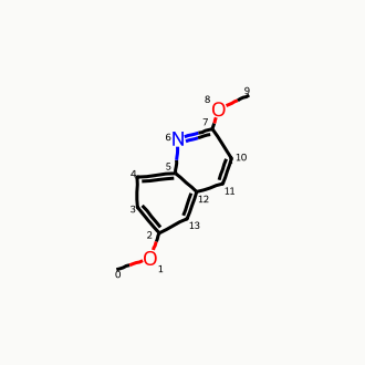 COc1ccc2nc(OC)[c]cc2c1